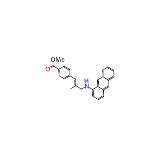 COC(=O)c1ccc(C=C(C)CNc2cccc3cc4ccccc4cc23)cc1